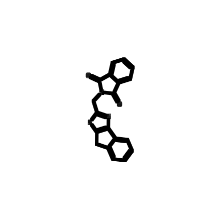 O=C1c2ccccc2C(=O)N1Cc1nc2c(s1)Cc1ccccc1-2